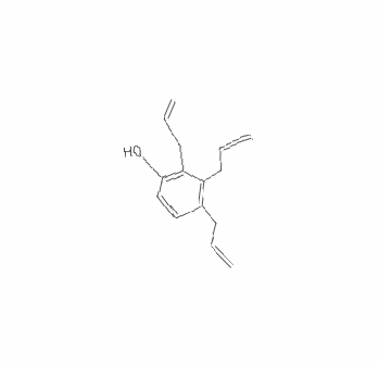 C=CCc1ccc(O)c(CC=C)c1CC=C